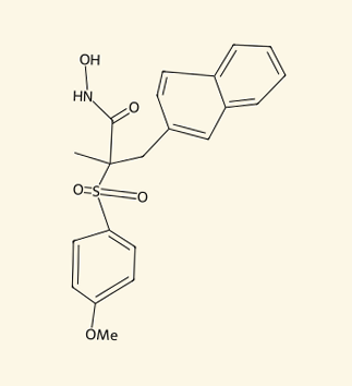 COc1ccc(S(=O)(=O)C(C)(Cc2ccc3ccccc3c2)C(=O)NO)cc1